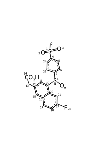 CS(=O)(=O)c1ccc([S+]([O-])c2cc(CC(=O)O)cc3ccc(F)cc23)cc1